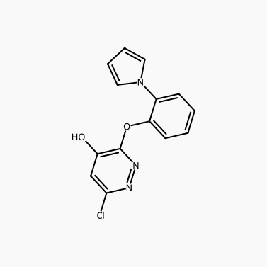 Oc1cc(Cl)nnc1Oc1ccccc1-n1cccc1